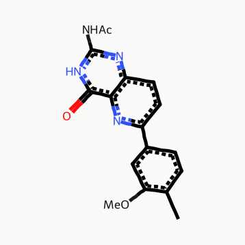 COc1cc(-c2ccc3nc(NC(C)=O)[nH]c(=O)c3n2)ccc1C